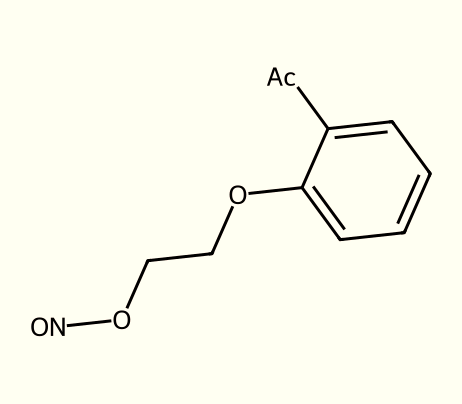 CC(=O)c1ccccc1OCCON=O